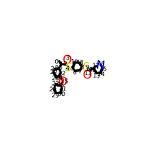 CC(C(=O)Sc1ccc(SC(=O)c2cccnc2)cc1)c1cccc(Oc2ccccc2)c1